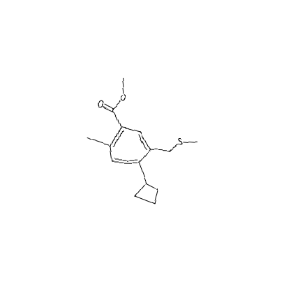 COC(=O)c1cc(CSC)c(C2CCC2)cc1C